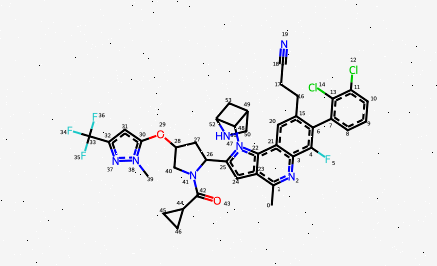 Cc1nc2c(F)c(-c3cccc(Cl)c3Cl)c(CCC#N)cc2c2c1cc(C1CC(Oc3cc(C(F)(F)F)nn3C)CN1C(=O)C1CC1)n2C1C2CNC1C2